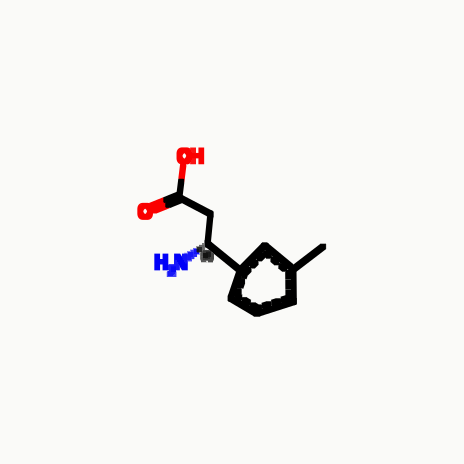 Cc1cccc([C@H](N)CC(=O)O)c1